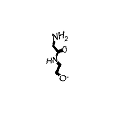 NCC(=O)NCC[O]